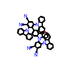 N#Cc1cc(-n2c3ccccc3c3ccccc32)c(-n2c3ccccc3c3cc(-c4c(-n5c6ccccc6c6ccccc65)cc(C#N)c(C#N)c4-n4c5ccccc5c5ccccc54)ccc32)cc1C#N